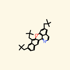 CC(C)(C)Cc1cc2c3c(nccc3c1)-c1cc3ccc(CC(C)(C)C)cc3c(CC(C)(C)C)c1O2